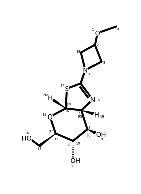 COC1CN(C2=N[C@@H]3[C@@H](O)[C@H](O)[C@@H](CO)O[C@@H]3S2)C1